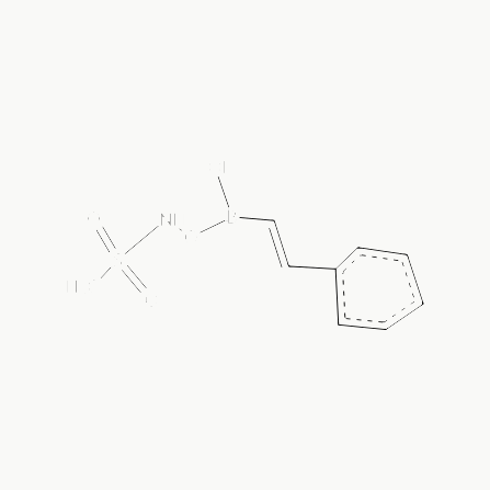 CS(=O)(=O)NOB(O)C=Cc1ccccc1